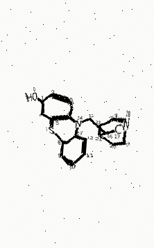 Oc1ccc2c(c1)SC1C=CC=CC1N2CC1CN2CCC1CC2